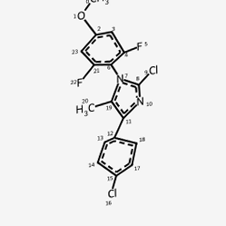 COc1cc(F)c(-n2c(Cl)nc(-c3ccc(Cl)cc3)c2C)c(F)c1